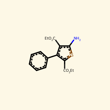 CCOC(=O)c1sc(N)c(C(=O)OCC)c1-c1ccccc1